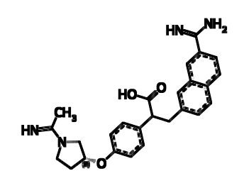 CC(=N)N1CC[C@@H](Oc2ccc(C(Cc3ccc4ccc(C(=N)N)cc4c3)C(=O)O)cc2)C1